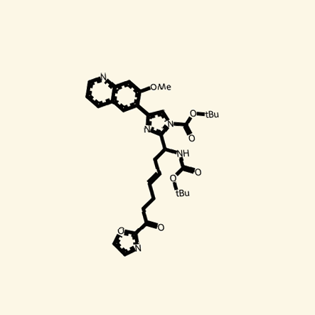 COc1cc2ncccc2cc1-c1cn(C(=O)OC(C)(C)C)c(C(CC=CCCC(=O)c2ncco2)NC(=O)OC(C)(C)C)n1